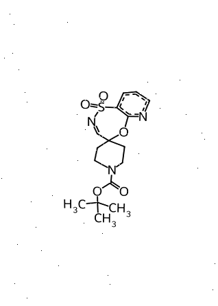 CC(C)(C)OC(=O)N1CCC2(C=NS(=O)(=O)c3cccnc3O2)CC1